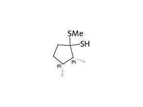 CSC1(S)CC[C@@H](C)[C@H]1C